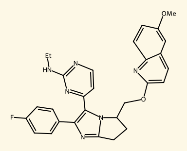 CCNc1nccc(-c2c(-c3ccc(F)cc3)nc3n2C(COc2ccc4cc(OC)ccc4n2)CC3)n1